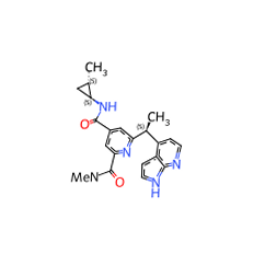 CNC(=O)c1cc(C(=O)N[C@H]2C[C@@H]2C)cc([C@@H](C)c2ccnc3[nH]ccc23)n1